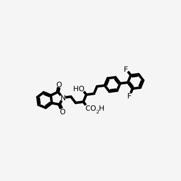 O=C(O)C(CCN1C(=O)c2ccccc2C1=O)C(O)CCc1ccc(-c2c(F)cccc2F)cc1